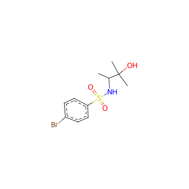 CC(NS(=O)(=O)c1ccc(Br)cc1)C(C)(C)O